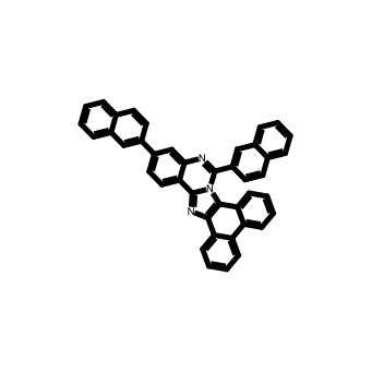 c1ccc2cc(-c3ccc4c(c3)nc(-c3ccc5ccccc5c3)n3c4nc4c5ccccc5c5ccccc5c43)ccc2c1